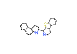 c1ccc2c(c1)ccc1nc(-c3nccc4c3sc3ccccc34)ccc12